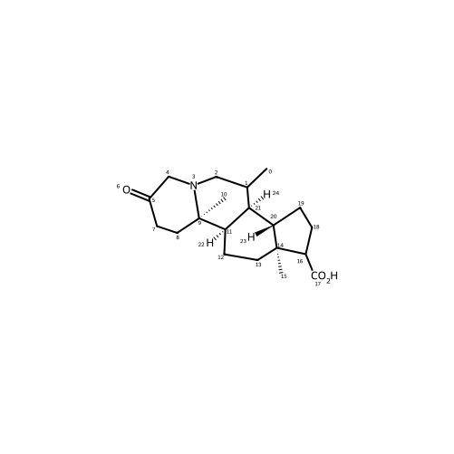 CC1CN2CC(=O)CC[C@]2(C)[C@@H]2CC[C@]3(C)C(C(=O)O)CC[C@H]3[C@H]12